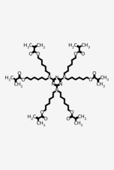 C=C(C)C(=O)OCCCCCCN(CCCCCCOC(=O)C(=C)C)c1nc(N(CCCCCCOC(=O)C(=C)C)CCCCCCOC(=O)C(=C)C)nc(N(CCCCCCOC(=O)C(=C)C)CCCCCCOC(=O)C(=C)C)n1